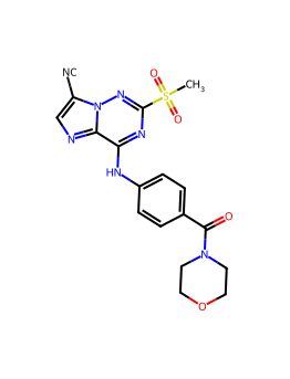 [C-]#[N+]c1cnc2c(Nc3ccc(C(=O)N4CCOCC4)cc3)nc(S(C)(=O)=O)nn12